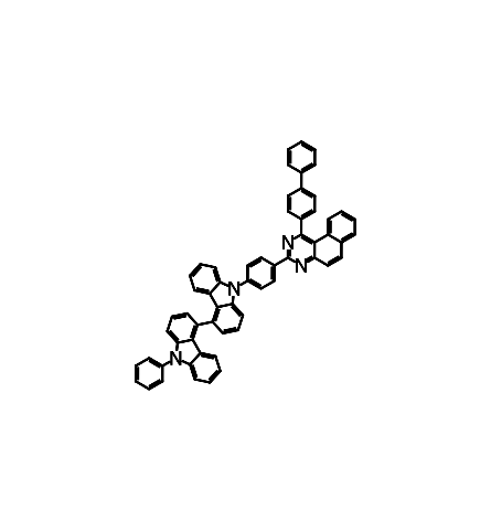 c1ccc(-c2ccc(-c3nc(-c4ccc(-n5c6ccccc6c6c(-c7cccc8c7c7ccccc7n8-c7ccccc7)cccc65)cc4)nc4ccc5ccccc5c34)cc2)cc1